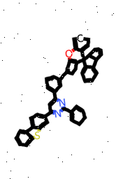 C1=CC2c3ccccc3C3(C4=CCCC=C4OC4=C3CCC(c3cccc(-c5cc(-c6ccc7c(c6)sc6ccccc67)nc(C6=CCCC=C6)n5)c3)=C4)C2C=C1